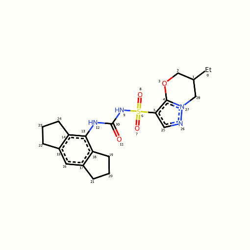 CCC1COc2c(S(=O)(=O)NC(=O)Nc3c4c(cc5c3CCC5)CCC4)cnn2C1